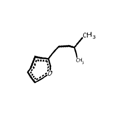 CC(C)Cc1ccco1